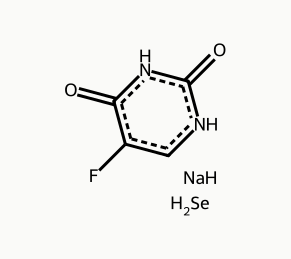 O=c1[nH]cc(F)c(=O)[nH]1.[NaH].[SeH2]